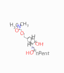 CCCCC[C@H](O)/C=C/[C@@H]1[C@H]2CC(CCOCC(=O)N(C)C)=C[C@H]2C[C@H]1O